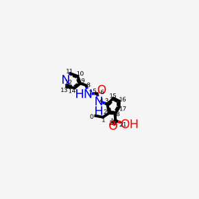 CCc1c(NC(=O)NCc2ccncc2)cccc1C(=O)O